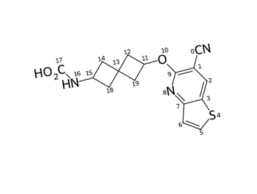 N#Cc1cc2sccc2nc1OC1CC2(CC(NC(=O)O)C2)C1